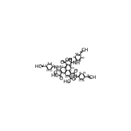 C#Cc1ccc(NC(=O)C2=C(C(=O)O)c3cc(C(=O)O)c(C(=O)Nc4ccc(C#C)cc4)c4cc(C(=O)Nc5ccc(C#C)cc5)c(C(=O)O)c(c34)C2)cc1